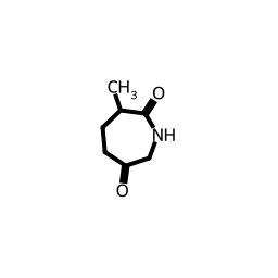 CC1CCC(=O)CNC1=O